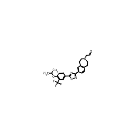 CC(C)Oc1ccc(-c2nc(-c3ccc4c(c3)CCN(CC=O)CC4)no2)cc1C(F)(F)F